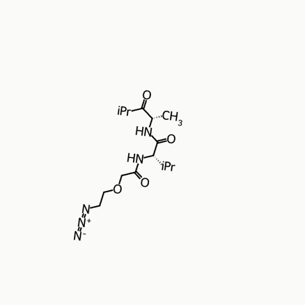 CC(C)C(=O)[C@H](C)NC(=O)[C@@H](NC(=O)COCCN=[N+]=[N-])C(C)C